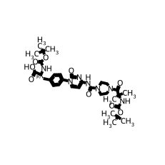 CC(C)(C)OC(=O)N[C@H](Cc1ccc(-n2ccc(NC(=O)N3CCN(C(=O)C(C)(C)NC(=O)OC(C)(C)C)CC3)nc2=O)cc1)C(=O)O